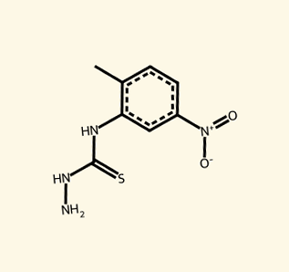 Cc1ccc([N+](=O)[O-])cc1NC(=S)NN